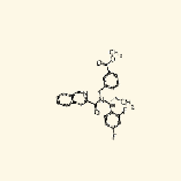 CC[C@H](c1ccc(F)cc1F)N(Cc1cccc(C(=O)OC)c1)C(=O)c1cc2ccccc2cn1